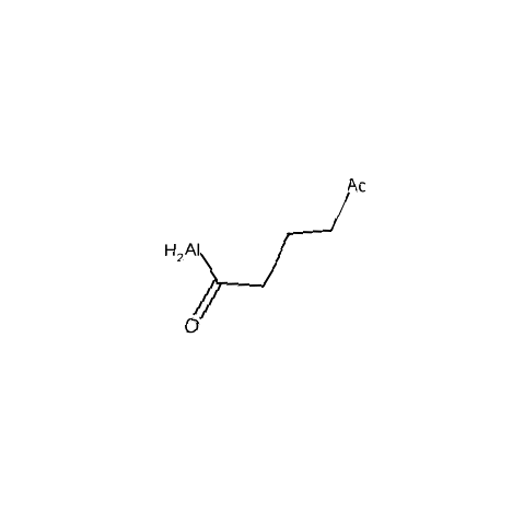 CC(=O)CCC[C](=O)[AlH2]